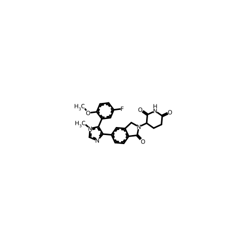 COc1ccc(F)cc1-c1c(-c2ccc3c(c2)CN(C2CCC(=O)NC2=O)C3=O)ncn1C